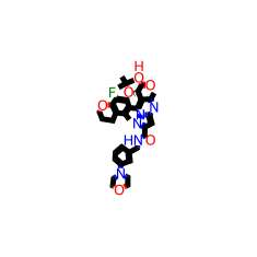 Cc1nc2cc(C(=O)NCc3cccc(N4CCOCC4)c3)nn2c(-c2cc(F)c3c(c2C)CCCO3)c1[C@H](OC(C)(C)C)C(=O)O